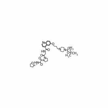 CC(C)(C)OC(=O)N1CCN(CCCOc2ccc3nccc(C(=O)NCC(=O)N4CCC[C@H]4C(=O)C(=O)NC[C@@H]4CCCO4)c3c2)CC1